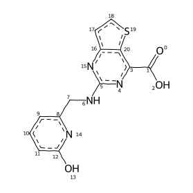 O=C(O)c1nc(NCc2cccc(O)n2)nc2ccsc12